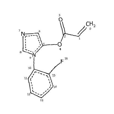 C=CC(=O)Oc1cncn1-c1ccccc1F